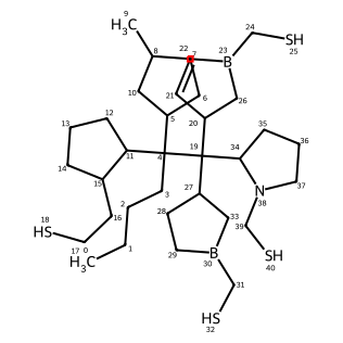 CCCCC(C1CCC(C)C1)(C1CCCC1CCS)C(C1C=CB(CS)C1)(C1CCB(CS)C1)C1CCCN1CS